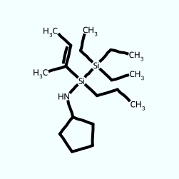 C/C=C(\C)[Si](CCC)(NC1CCCC1)[Si](CC)(CC)CC